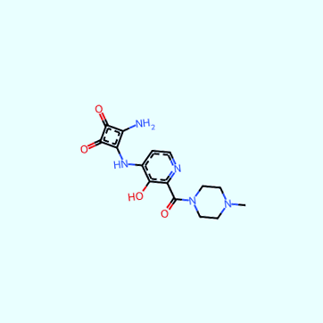 CN1CCN(C(=O)c2nccc(Nc3c(N)c(=O)c3=O)c2O)CC1